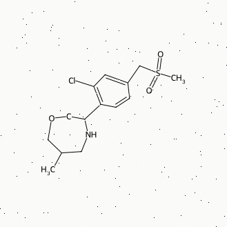 CC1CNC(c2ccc(CS(C)(=O)=O)cc2Cl)COC1